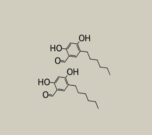 CCCCCCc1cc(C=O)c(O)cc1O.CCCCCCc1cc(C=O)c(O)cc1O